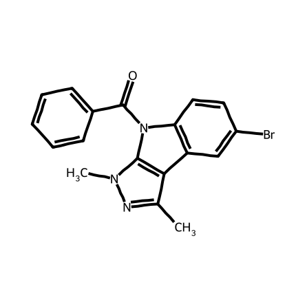 Cc1nn(C)c2c1c1cc(Br)ccc1n2C(=O)c1ccccc1